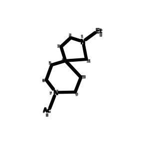 CCN1CCC2(CCN(C(C)=O)CC2)C1